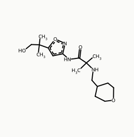 CC(C)(NCC1CCOCC1)C(=O)Nc1cc(C(C)(C)CO)on1